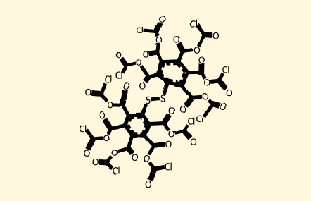 O=C(Cl)OC(=O)c1c(SSc2c(C(=O)OC(=O)Cl)c(C(=O)OC(=O)Cl)c(C(=O)OC(=O)Cl)c(C(=O)OC(=O)Cl)c2C(=O)OC(=O)Cl)c(C(=O)OC(=O)Cl)c(C(=O)OC(=O)Cl)c(C(=O)OC(=O)Cl)c1C(=O)OC(=O)Cl